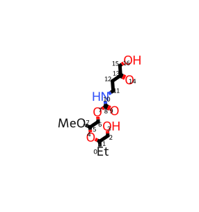 CCC(CO)OC(COC(=O)NCCC(=O)CO)OC